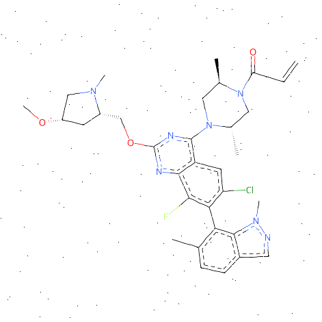 C=CC(=O)N1C[C@H](C)N(c2nc(OC[C@@H]3C[C@H](OC)CN3C)nc3c(F)c(-c4c(C)ccc5cnn(C)c45)c(Cl)cc23)C[C@H]1C